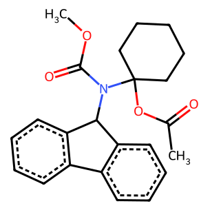 COC(=O)N(C1c2ccccc2-c2ccccc21)C1(OC(C)=O)CCCCC1